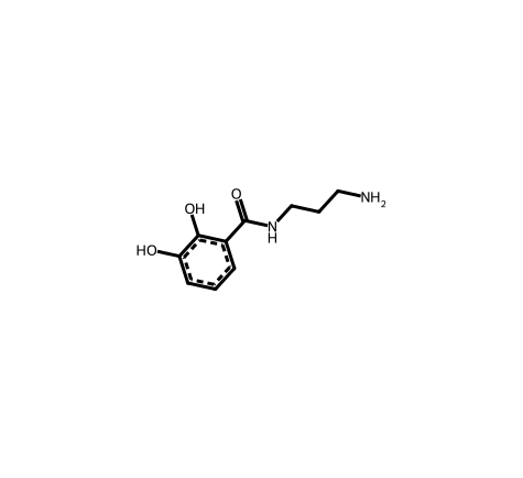 NCCCNC(=O)c1cccc(O)c1O